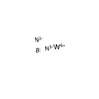 [B].[N-3].[N-3].[W+6]